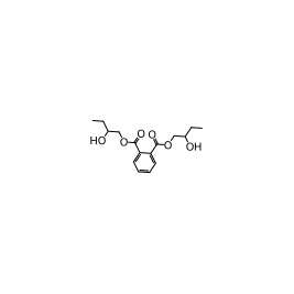 CCC(O)COC(=O)c1ccccc1C(=O)OCC(O)CC